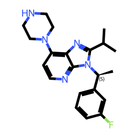 CC(C)c1nc2c(N3CCNCC3)ccnc2n1[C@@H](C)c1cccc(F)c1